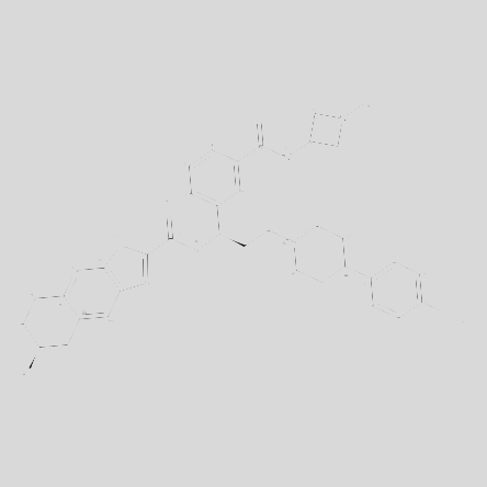 CN1CC(NC(=O)c2cccc([C@@H](CCN3CCC(c4ccc(C(=O)O)cc4)CC3)NC(=O)c3nc4cc5c(nc4s3)CC[C@H](C(C)(C)C)C5)c2)C1